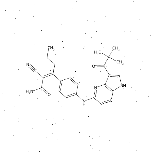 CCCC(=C(C#N)C(N)=O)c1ccc(Nc2cnc3[nH]cc(C(=O)C(C)(C)C)c3n2)cc1